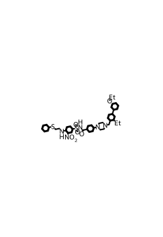 CCOc1cccc(-c2ccc(CN3CCN(c4ccc(C(=O)NS(=O)(=O)c5ccc(NCCSc6ccccc6)c([N+](=O)[O-])c5)cc4)CC3)c(CC)c2)c1